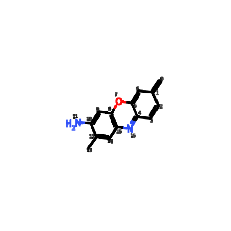 C=c1ccc2c(c1)Oc1cc(N)c(C)cc1N=2